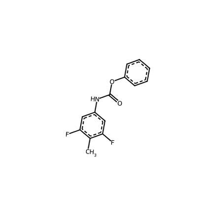 Cc1c(F)cc(NC(=O)Oc2ccccc2)cc1F